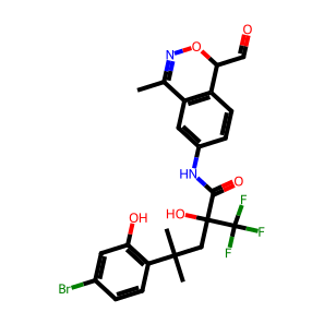 CC1=NOC(C=O)c2ccc(NC(=O)C(O)(CC(C)(C)c3ccc(Br)cc3O)C(F)(F)F)cc21